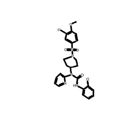 COc1ccc(S(=O)(=O)N2CCC(N(C(=O)Nc3ccccc3Cl)c3ccccn3)CC2)cc1Cl